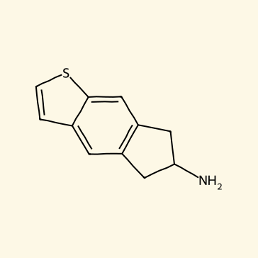 NC1Cc2cc3ccsc3cc2C1